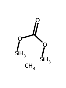 C.O=C(O[SiH3])O[SiH3]